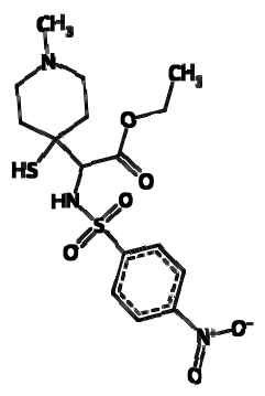 CCOC(=O)C(NS(=O)(=O)c1ccc([N+](=O)[O-])cc1)C1(S)CCN(C)CC1